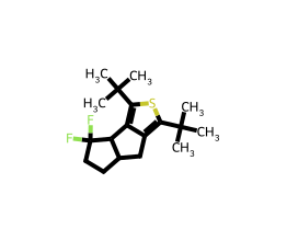 CC(C)(C)c1sc(C(C)(C)C)c2c1CC1CCC(F)(F)C21